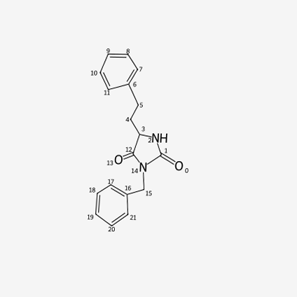 O=C1NC(CCc2ccccc2)C(=O)N1Cc1ccccc1